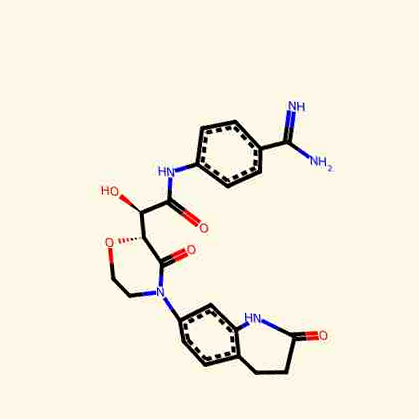 N=C(N)c1ccc(NC(=O)[C@H](O)[C@H]2OCCN(c3ccc4c(c3)NC(=O)CC4)C2=O)cc1